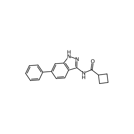 O=C(Nc1n[nH]c2cc(-c3ccccc3)ccc12)C1CCC1